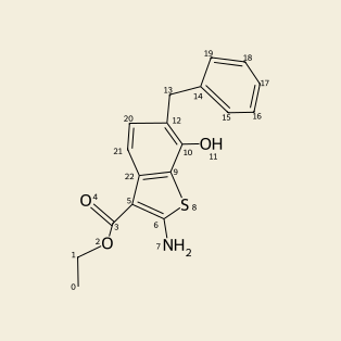 CCOC(=O)c1c(N)sc2c(O)c(Cc3ccccc3)ccc12